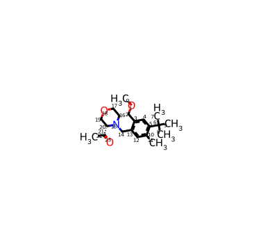 COCc1cc(C(C)(C)C)c(C)cc1CN1CCOC[C@H]1C(C)=O